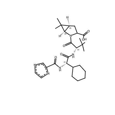 CC(C)(C)[C@H](NC(=O)[C@@H](NC(=O)c1cnccn1)C1CCCCC1)C(=O)N1C(C(=O)O)C[C@H]2[C@@H]1C2(C)C